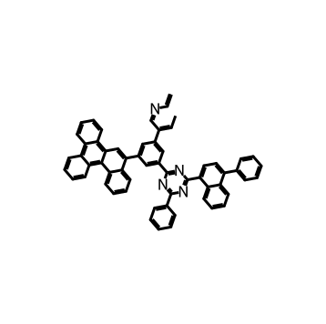 C=C/N=C\C(=C/C)c1cc(-c2nc(-c3ccccc3)nc(-c3ccc(-c4ccccc4)c4ccccc34)n2)cc(-c2cc3c4ccccc4c4ccccc4c3c3ccccc23)c1